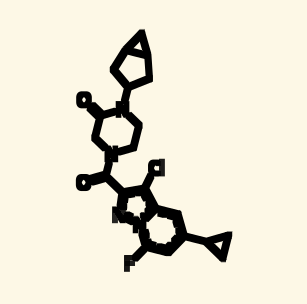 O=C(c1nn2c(F)cc(C3CC3)cc2c1Cl)N1CCN(C2CC3CC3C2)C(=O)C1